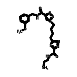 NCCNC(=O)c1nnc(CCCCn2cc(C(=O)NCc3cccc(OC(F)(F)F)c3)nn2)s1